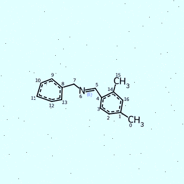 Cc1ccc(/C=N/Cc2ccccc2)c(C)c1